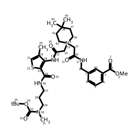 COC(=O)c1cccc(CNC(=O)C[N+]2(CC(=O)Nc3c(C)csc3C(=O)NCCCN(C)C(=O)OC(C)(C)C)CCC(C)(C)CC2)c1